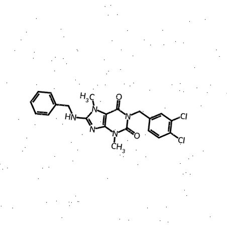 Cn1c(NCc2ccccc2)nc2c1c(=O)n(Cc1ccc(Cl)c(Cl)c1)c(=O)n2C